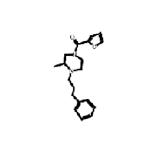 CC1CN(C(=O)c2ccco2)CCN1CCCc1ccccc1